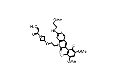 C=CC(=O)N1CC(OCCn2c(=O)c(-c3c(Cl)c(OC)cc(OC)c3Cl)cc3cnc(NCCOC)nc32)C1